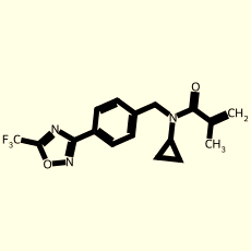 C=C(C)C(=O)N(Cc1ccc(-c2noc(C(F)(F)F)n2)cc1)C1CC1